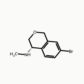 CN[C@@H]1COCc2cc(Br)ccc21